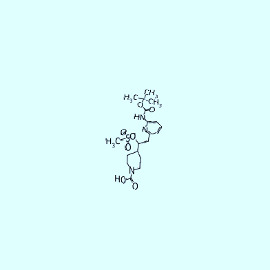 CC(C)(C)OC(=O)Nc1cccc(CC(OS(C)(=O)=O)C2CCN(C(=O)O)CC2)n1